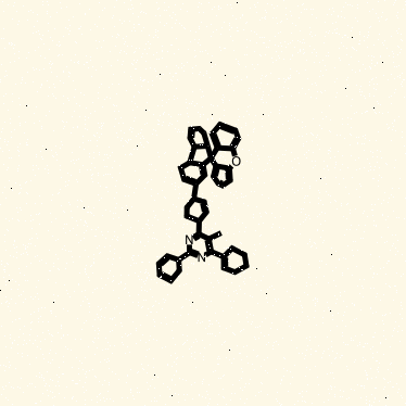 Cc1c(C2=CCCCC2)nc(C2C=CC=CC2)nc1C1C=CC(C2=CCC3C(=C2)C2(c4ccccc4Oc4ccccc42)C2CCC=CC32)CC1